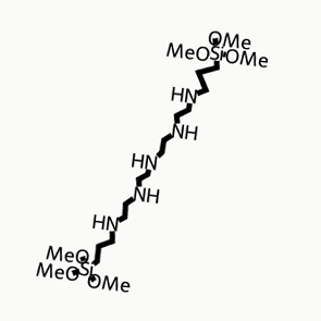 CO[Si](CCCNCCNCCNCCNCCNCCC[Si](OC)(OC)OC)(OC)OC